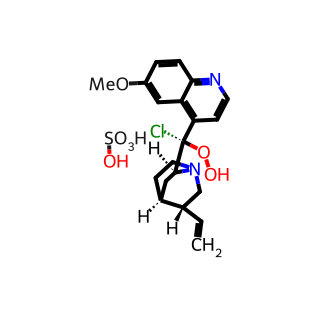 C=C[C@H]1CN2CC[C@H]1C[C@H]2[C@](Cl)(OO)c1ccnc2ccc(OC)cc12.O=S(=O)(O)O